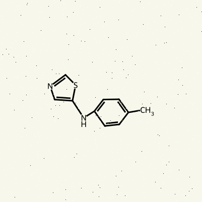 Cc1ccc(Nc2cncs2)cc1